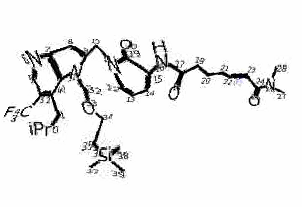 CC(C)Cc1c(C(F)(F)F)cnc2cc(Cn3cccc(NC(=O)CCC/C=C/C(=O)N(C)C)c3=O)n(COCC[Si](C)(C)C)c12